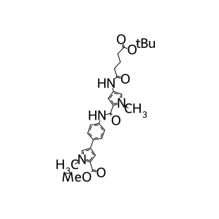 COC(=O)c1cc(-c2ccc(NC(=O)c3cc(NC(=O)CCCC(=O)OC(C)(C)C)cn3C)cc2)cn1C